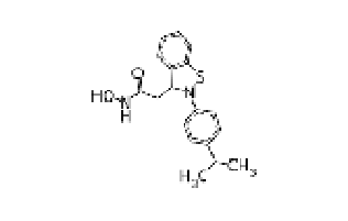 CC(C)c1ccc(N2Sc3ccccc3C2CC(=O)NO)cc1